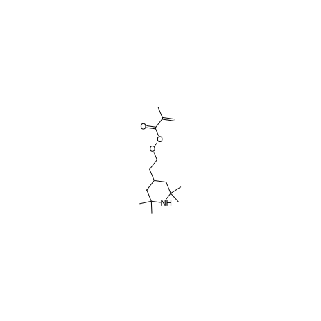 C=C(C)C(=O)OOCCC1CC(C)(C)NC(C)(C)C1